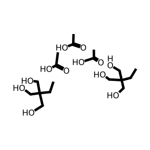 CC(=O)O.CC(=O)O.CC(=O)O.CCC(CO)(CO)CO.CCC(CO)(CO)CO